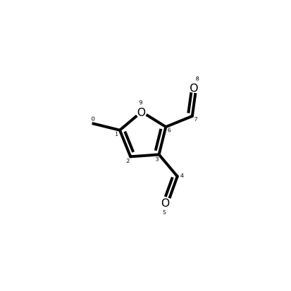 Cc1cc(C=O)c(C=O)o1